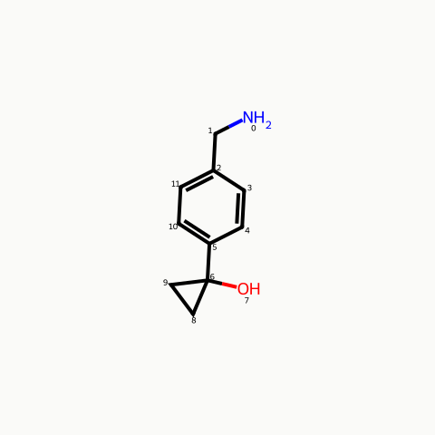 NCc1ccc(C2(O)CC2)cc1